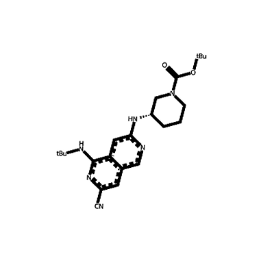 CC(C)(C)Nc1nc(C#N)cc2cnc(N[C@H]3CCCN(C(=O)OC(C)(C)C)C3)cc12